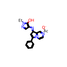 CC(=O)[O-].CCn1ncc(/N=C2\C=C(c3ccccc3)[n+]3ccncc32)c1O